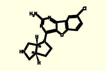 Nc1nc(N2CC[C@H]3CNC[C@H]32)c2oc3ccc(Cl)cc3c2n1